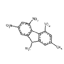 Cc1cc2c(c([N+](=O)[O-])c1)-c1c(cc([N+](=O)[O-])cc1[N+](=O)[O-])C2C